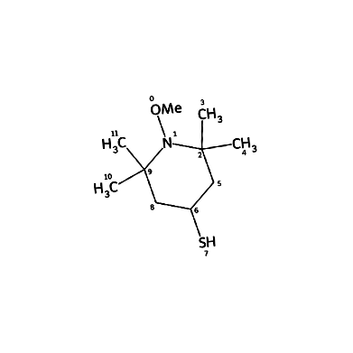 CON1C(C)(C)CC(S)CC1(C)C